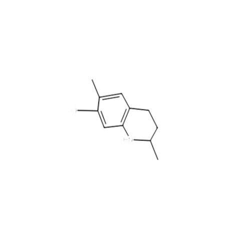 Cc1cc2c(cc1Cl)NC(C)CC2